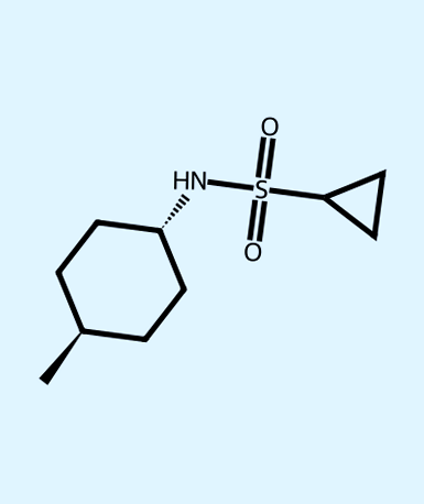 C[C@H]1CC[C@H](NS(=O)(=O)C2CC2)CC1